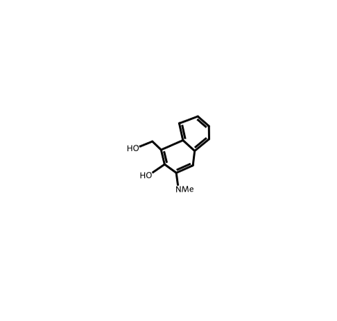 CNc1cc2ccccc2c(CO)c1O